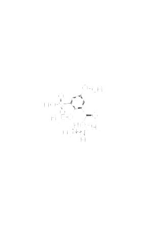 CNN.COc1cc(C(=O)O)c(OC)c(S(=O)(=O)O)c1